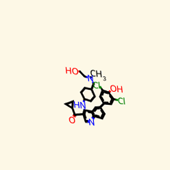 CN(CCO)CC1CCC(Nc2c(C(=O)C3CC3)cnc3ccc(-c4cc(Cl)c(O)c(Cl)c4)cc23)CC1